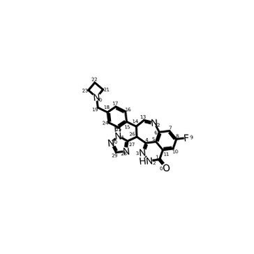 O=c1[nH]nc2c3c(cc(F)cc13)N=CC(c1ccc(CN3CCC3)cc1)C2c1ncn[nH]1